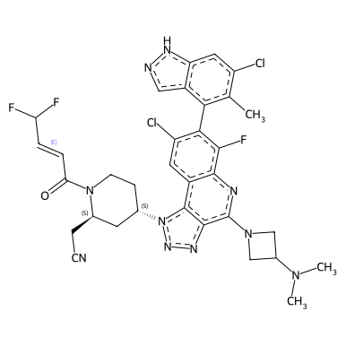 Cc1c(Cl)cc2[nH]ncc2c1-c1c(Cl)cc2c(nc(N3CC(N(C)C)C3)c3nnn([C@H]4CCN(C(=O)/C=C/C(F)F)[C@H](CC#N)C4)c32)c1F